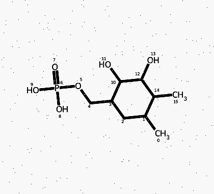 CC1CC(COP(=O)(O)O)C(O)C(O)C1C